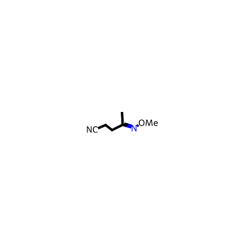 CO/N=C(\C)CCC#N